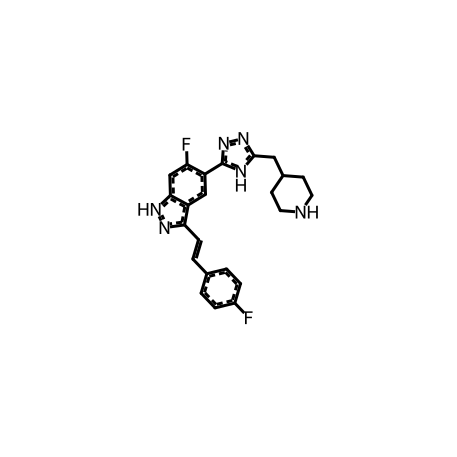 Fc1ccc(C=Cc2n[nH]c3cc(F)c(-c4nnc(CC5CCNCC5)[nH]4)cc23)cc1